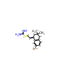 CC1(C)C/C(=C\CSC(=N)N)c2cc(Br)ccc2C1